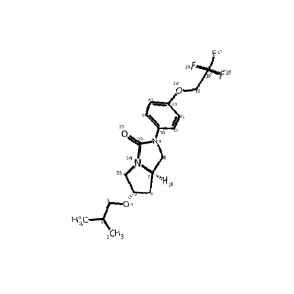 CC(C)CO[C@H]1C[C@@H]2CN(c3ccc(OCC(F)(F)F)cc3)C(=O)N2C1